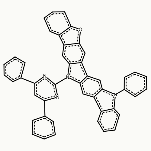 c1ccc(-c2cc(-c3ccccc3)nc(-n3c4cc5c(cc4c4cc6c(cc43)c3ccccc3n6-c3ccccc3)oc3ccccc35)n2)cc1